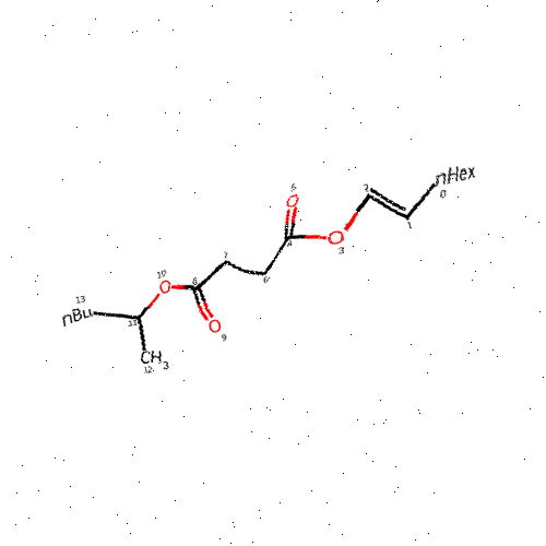 CCCCCC/C=C/OC(=O)CCC(=O)OC(C)CCCC